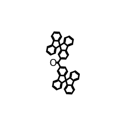 O=C(c1ccc2c(c1)-c1ccccc1C21c2ccccc2-c2ccccc21)c1ccc2c(c1)C1(c3ccccc3-c3ccccc31)c1ccccc1-2